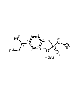 CC(C)CC(c1ccc(CP(=O)(OC(C)(C)C)OC(C)(C)C)cc1)C(C)C